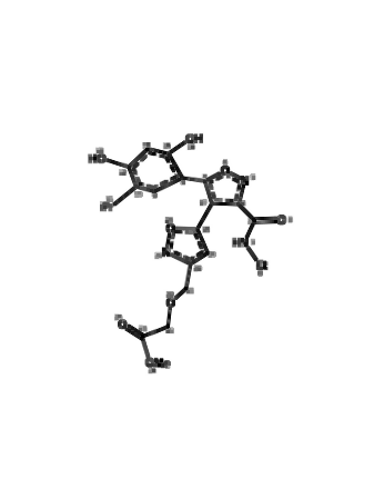 CCNC(=O)c1noc(-c2cc(C(C)C)c(O)cc2O)c1-c1cc(COCC(=O)OC)no1